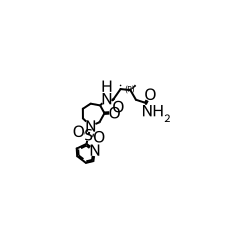 C[C@H]([CH]C(=O)NC1CCCN(S(=O)(=O)c2ccccn2)CC1=O)CC(N)=O